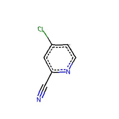 N#Cc1cc(Cl)[c]cn1